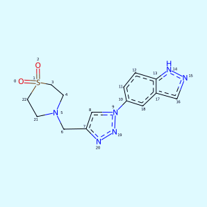 O=S1(=O)CCN(Cc2cn(-c3ccc4[nH]ncc4c3)nn2)CC1